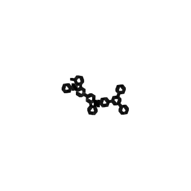 CC1CC=Cc2c1n(-c1ccccc1)c1ccc(-c3ccc4c(c3)c3ccccc3n4-c3ccc(-c4cc(C5=CCCC=C5)cc(-c5ccccc5)c4)cc3)cc21